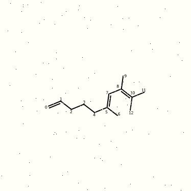 C=CCCCC(C)=CC(C)=C(C)C